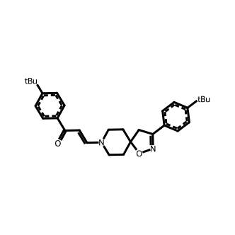 CC(C)(C)c1ccc(C(=O)C=CN2CCC3(CC2)CC(c2ccc(C(C)(C)C)cc2)=NO3)cc1